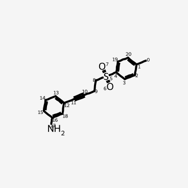 Cc1ccc(S(=O)(=O)CCC#Cc2cccc(N)c2)cc1